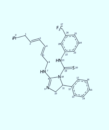 CC(C)C/C=C/C=C/CNC1=NCC(c2ccccc2)N1C(=S)Nc1cccc(C(F)(F)F)c1